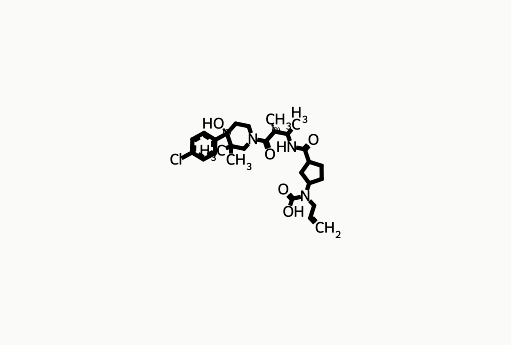 C=CCN(C(=O)O)C1CCC(C(=O)NC(C)[C@@H](C)C(=O)N2CC[C@](O)(c3ccc(Cl)cc3)C(C)(C)C2)C1